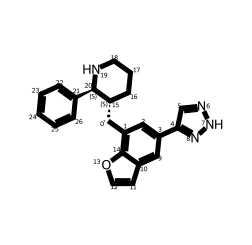 [CH](c1cc(-c2cn[nH]n2)cc2ccoc12)[C@H]1CCCN[C@@H]1c1ccccc1